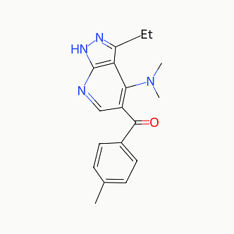 CCc1n[nH]c2ncc(C(=O)c3ccc(C)cc3)c(N(C)C)c12